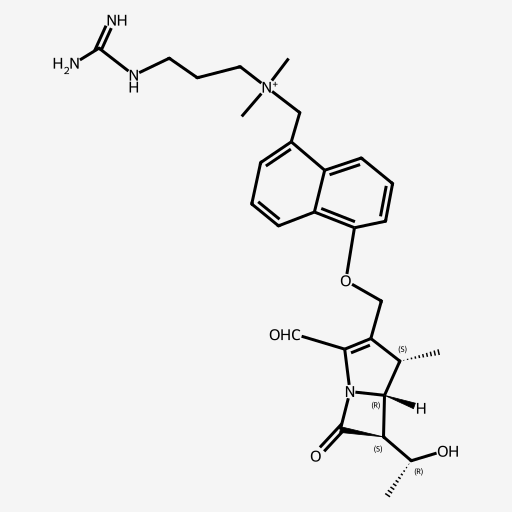 C[C@@H](O)[C@H]1C(=O)N2C(C=O)=C(COc3cccc4c(C[N+](C)(C)CCCNC(=N)N)cccc34)[C@H](C)[C@H]12